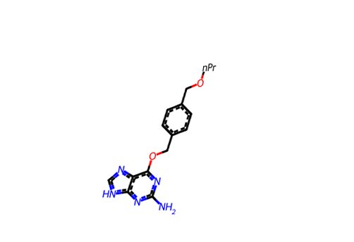 CCCOCc1ccc(COc2nc(N)nc3[nH]cnc23)cc1